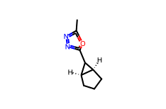 Cc1nnc(C2[C@H]3CCC[C@@H]23)o1